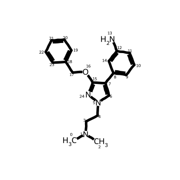 CN(C)CCn1cc(-c2cccc(N)c2)c(OCc2ccccc2)n1